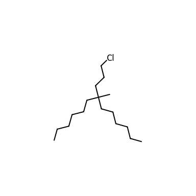 CCCCCCC(C)(CCCCl)CCCCCC